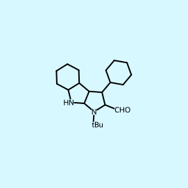 CC(C)(C)N1C(C=O)C(C2CCCCC2)C2C3CCCCC3NC21